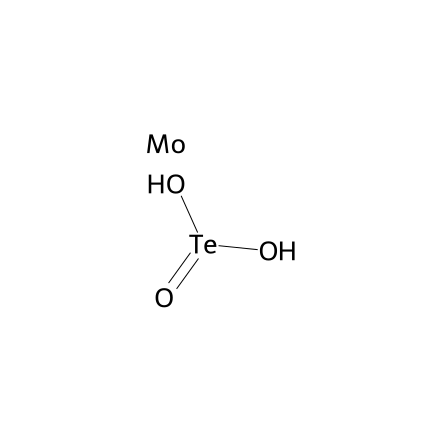 O=[Te](O)O.[Mo]